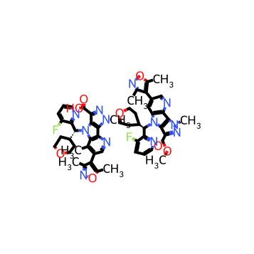 COC(=O)c1nn(C)c2c3ncc(-c4c(C)noc4C)cc3n([C@@H](c3ncccc3F)C3CCOCC3)c12.Cc1noc(C)c1-c1cnc2c3c(c(C(=O)O)nn3C)n([C@@H](c3ncccc3F)C3CCOCC3)c2c1C